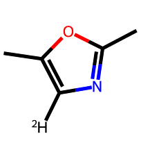 [2H]c1nc(C)oc1C